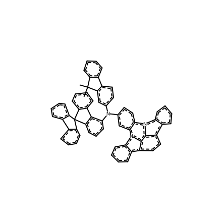 CC1(C)c2ccccc2-c2ccc(N(c3ccc4c(c3)n3c5ccccc5c5ccc6c7ccccc7n4c6c53)c3cccc4c3-c3ccccc3C43c4ccccc4-c4ccccc43)cc21